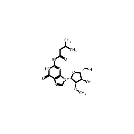 [2H]C[C@H]1O[C@@H](n2cnc3c(=O)[nH]c(NC(=O)CC(C)C)nc32)[C@H](OC)[C@@H]1O